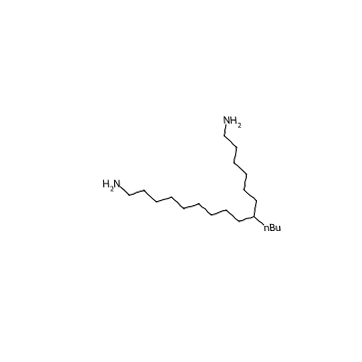 CCCCC(CCCCCCN)CCCCCCCCCN